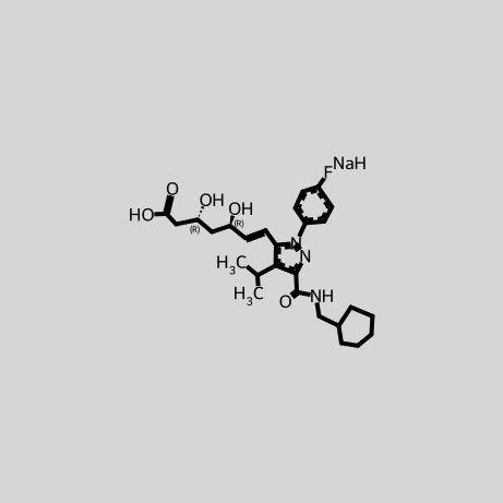 CC(C)c1c(C(=O)NCC2CCCCC2)nn(-c2ccc(F)cc2)c1C=C[C@H](O)C[C@@H](O)CC(=O)O.[NaH]